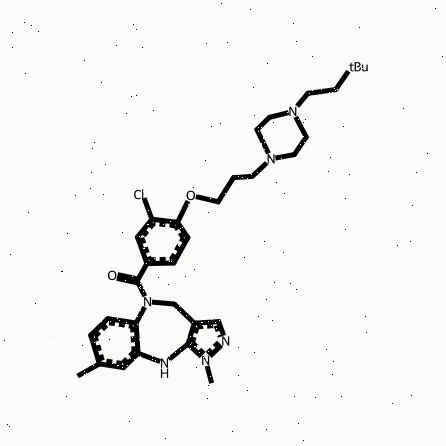 Cc1ccc2c(c1)Nc1c(cnn1C)CN2C(=O)c1ccc(OCCCN2CCN(CCC(C)(C)C)CC2)c(Cl)c1